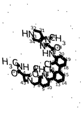 CNC(=O)C1CN(Cc2ccc(-c3cccc(-c4cccc(NC(=O)c5nc6c(n5C)CCNC6)c4Cl)c3Cl)nc2OC)C1